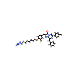 Cc1ccc(C2=CN3C(=O)/C(=C/c4ccc(OCCCCCCCCN=[N+]=[N-])c(F)c4)N=C3C(Cc3ccccc3)=N2)cc1